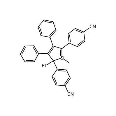 CCC1(c2ccc(C#N)cc2)C(c2ccccc2)=C(c2ccccc2)C(c2ccc(C#N)cc2)=[Si]1C